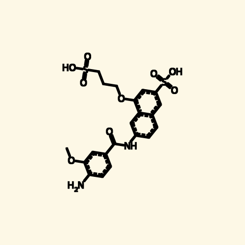 COc1cc(C(=O)Nc2ccc3cc(S(=O)(=O)O)cc(OCCCS(=O)(=O)O)c3c2)ccc1N